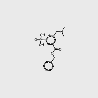 CN(C)Cc1cc(C(=O)OCc2ccccc2)cc(P(=O)(O)O)n1